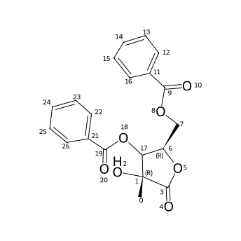 C[C@]1(O)C(=O)O[C@H](COC(=O)c2ccccc2)C1OC(=O)c1ccccc1